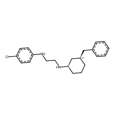 Clc1ccc(NCCNN2CCC[C@H](Cc3ccccc3)C2)cc1